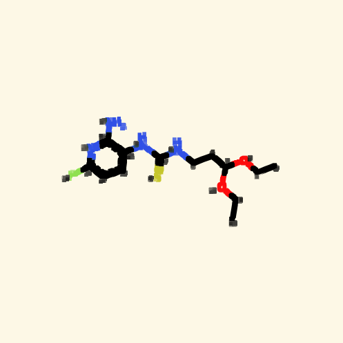 CCOC(CCNC(=S)Nc1ccc(F)nc1N)OCC